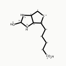 O=C(O)CCCCC1SCC2NC(O)NC21